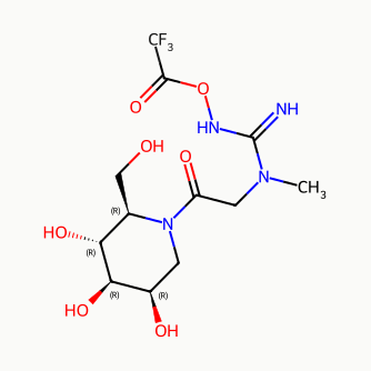 CN(CC(=O)N1C[C@@H](O)[C@@H](O)[C@H](O)[C@H]1CO)C(=N)NOC(=O)C(F)(F)F